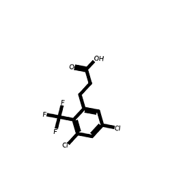 O=C(O)CCc1cc(Cl)cc(Cl)c1C(F)(F)F